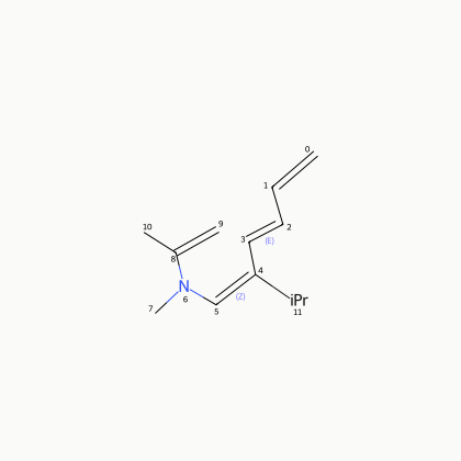 C=C/C=C/C(=C\N(C)C(=C)C)C(C)C